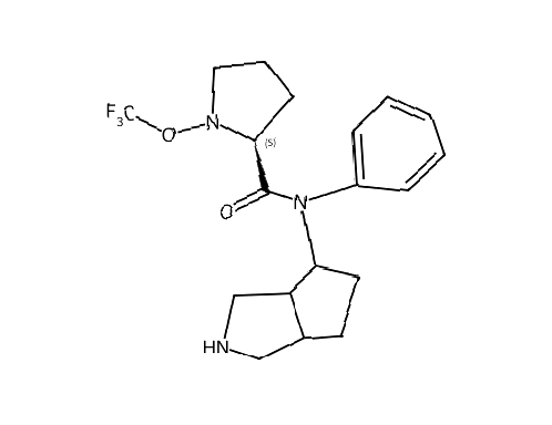 O=C([C@@H]1CCCN1OC(F)(F)F)N(c1ccccc1)C1CCC2CNCC21